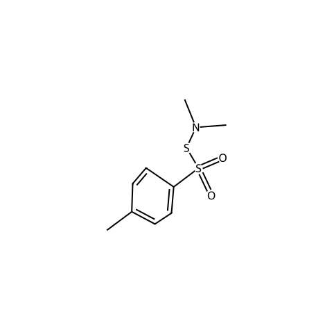 Cc1ccc(S(=O)(=O)SN(C)C)cc1